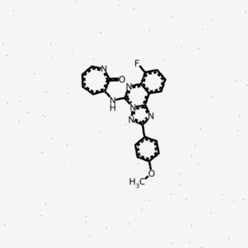 COc1ccc(-c2nc3c4cccc(F)c4nc(Nc4ccccnc4=O)n3n2)cc1